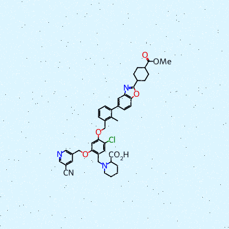 COC(=O)C1CCC(c2nc3cc(-c4cccc(COc5cc(OCc6cncc(C#N)c6)c(CN6CCCCC6C(=O)O)cc5Cl)c4C)ccc3o2)CC1